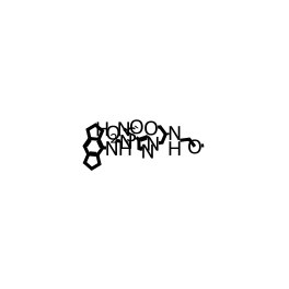 COCCN[C@@H]1COc2c(S(N)(=O)=NC(=O)Nc3c4c(cc5c3CCC5)CCC4)cnn2C1